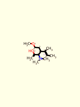 C=C(O)C(C(CCOC)/C(C)=C/C)N(C)C